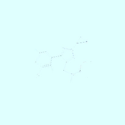 CN(Cc1nn(C2CC2)nc1-c1cc(F)cc([N+](=O)[O-])c1F)C(=O)OC(C)(C)C